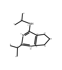 CC(C)Nc1nc(C(C)C)nc2c1CCC2